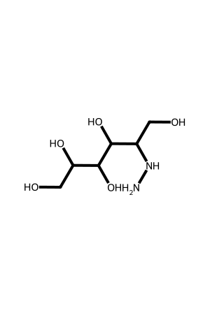 NNC(CO)C(O)C(O)C(O)CO